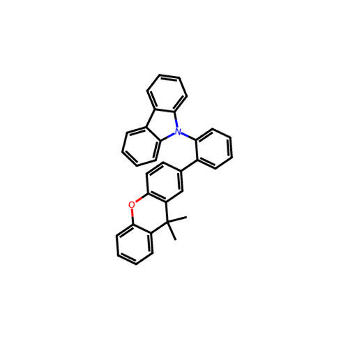 CC1(C)c2ccccc2Oc2ccc(-c3ccccc3-n3c4ccccc4c4ccccc43)cc21